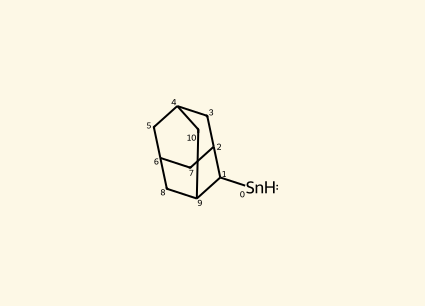 [SnH][CH]1C2CC3CC(C2)CC1C3